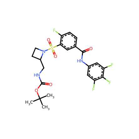 CC(C)(C)OC(=O)NCC1CCN1S(=O)(=O)c1cc(C(=O)Nc2cc(F)c(F)c(F)c2)ccc1F